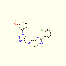 COc1cccc(-n2cc(Cn3ccc4nc(-c5ccccc5F)nc-4c3)nn2)c1